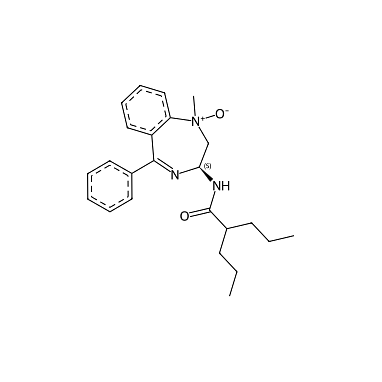 CCCC(CCC)C(=O)N[C@@H]1C[N+](C)([O-])c2ccccc2C(c2ccccc2)=N1